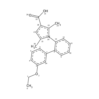 CCOc1cccc(-c2ccccc2-n2c(C)cc(C(=O)O)c2C)c1